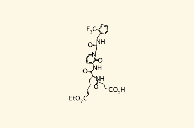 CCOC(=O)C=CCC[C@H](NC(=O)CCC(=O)O)C(=O)Nc1cccn(CC(=O)NCc2ccccc2C(F)(F)F)c1=O